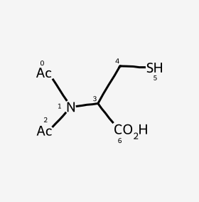 CC(=O)N(C(C)=O)C(CS)C(=O)O